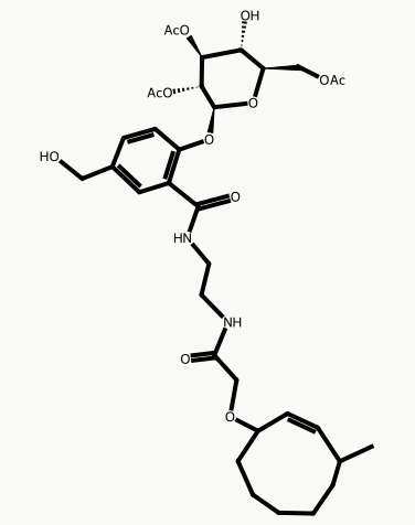 CC(=O)OC[C@H]1O[C@@H](Oc2ccc(CO)cc2C(=O)NCCNC(=O)COC2/C=C\C(C)CCCCC2)[C@H](OC(C)=O)[C@@H](OC(C)=O)[C@@H]1O